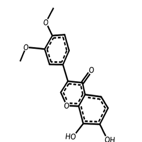 COc1ccc(-c2coc3c(O)c(O)ccc3c2=O)cc1OC